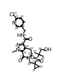 Cn1nc(C(=O)NCc2ccc(Cl)nc2)c2c1C(=O)N(CC1(S(=O)(=O)C(C)(C)CO)CC1)CC2